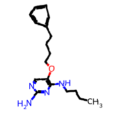 CCCCNc1nc(N)ncc1OCCCCc1ccccc1